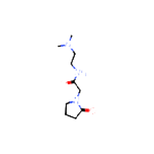 CN(C)CCNC(=O)CN1CCCC1=O